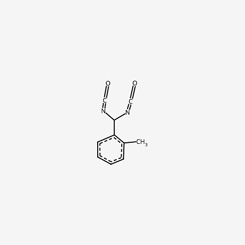 Cc1ccccc1C(N=C=O)N=C=O